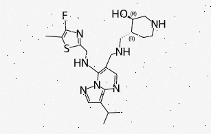 Cc1sc(CNc2c(CNC[C@H]3CCNC[C@@H]3O)cnc3c(C(C)C)cnn23)nc1F